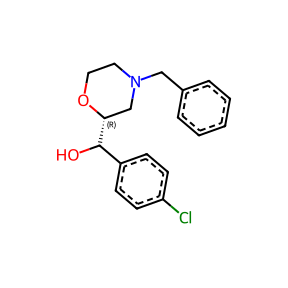 OC(c1ccc(Cl)cc1)[C@H]1CN(Cc2ccccc2)CCO1